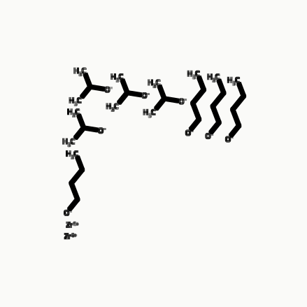 CC(C)[O-].CC(C)[O-].CC(C)[O-].CC(C)[O-].CCCC[O-].CCCC[O-].CCCC[O-].CCCC[O-].[Zr+4].[Zr+4]